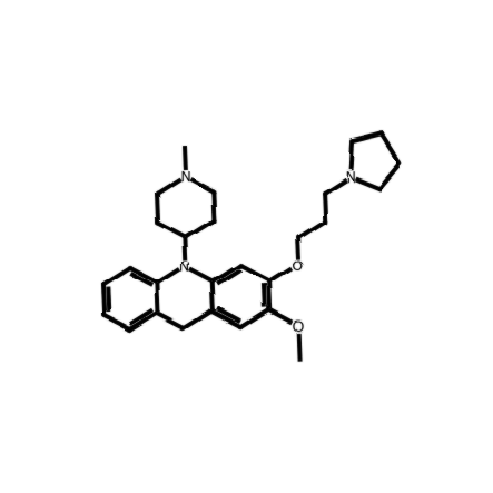 COc1cc2c(cc1OCCCN1CCCC1)N(C1CCN(C)CC1)c1ccccc1C2